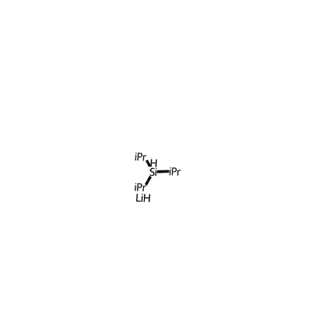 CC(C)[SiH](C(C)C)C(C)C.[LiH]